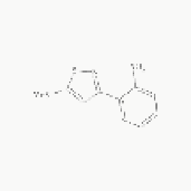 CSc1cc(-c2ccccc2[N+](=O)[O-])ns1